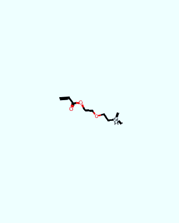 C=CC(=O)OCCOCC[SiH](C)C